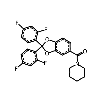 O=C(c1ccc2c(c1)OC(c1ccc(F)cc1F)(c1ccc(F)cc1F)O2)N1CCCCC1